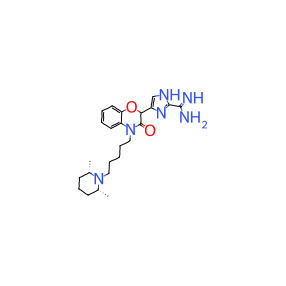 C[C@@H]1CCC[C@H](C)N1CCCCCN1C(=O)C(c2c[nH]c(C(=N)N)n2)Oc2ccccc21